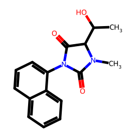 CC(O)C1C(=O)N(c2cccc3ccccc23)C(=O)N1C